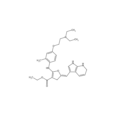 CCOC(=O)C1=C(Nc2ccc(OCCN(CC)CC)cc2C)O/C(=C\c2c[nH]c3c2C=CCN3)C1